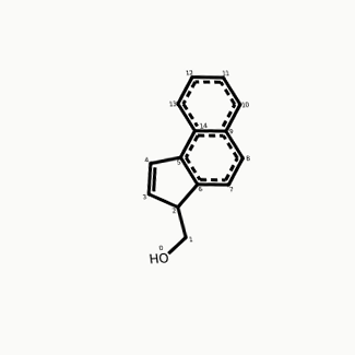 OCC1C=Cc2c1ccc1ccccc21